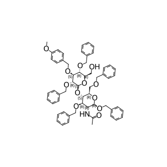 COc1ccc(CO[C@@H]2[C@@H](OCc3ccccc3)[C@H](O[C@H]3[C@H](OCc4ccccc4)[C@@H](NC(C)=O)[C@H](OCc4ccccc4)O[C@@H]3COCc3ccccc3)O[C@H](CO)[C@H]2OCc2ccccc2)cc1